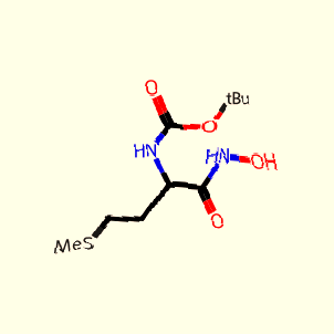 CSCCC(NC(=O)OC(C)(C)C)C(=O)NO